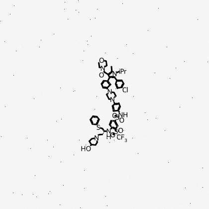 Cc1c(C(=O)N2CCOCC2)c(-c2cccc(N3CCN(c4ccc(NS(=O)(=O)c5ccc(N[C@H](CCN6CCC(O)CC6)CSc6ccccc6)c(S(=O)(=O)C(F)(F)F)c5)cc4)CC3)c2)c(-c2ccc(Cl)cc2)n1C(C)C